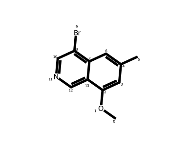 COc1cc(C)cc2c(Br)cncc12